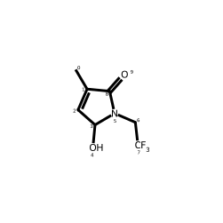 CC1=CC(O)N(CC(F)(F)F)C1=O